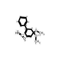 COC1(OC)C=CC=C(c2ccccc2)C1.N=C=O